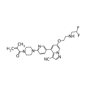 C=C(C)C(=O)N1CCN(c2ccc(-c3cc(OCCNCC(F)F)cn4ncc(C#N)c34)cn2)CC1